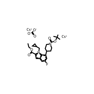 CCOC(=O)c1cc2cc(F)cc(C3CCN(C(=O)OC(C)(C)C)CC3)c2n1CC1CC1.O=C([O-])[O-].[Cs+].[Cs+]